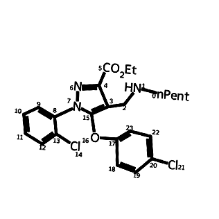 CCCCCNCc1c(C(=O)OCC)nn(-c2ccccc2Cl)c1Oc1ccc(Cl)cc1